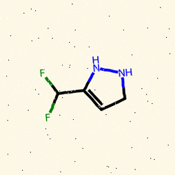 FC(F)C1=CCNN1